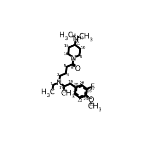 CCN(CCCC(=O)N1CCC(N(C)C)CC1)C(C)Cc1ccc(OC)c(F)c1